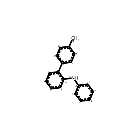 Cc1ccc(-c2ccccc2Nc2ccccc2)cc1